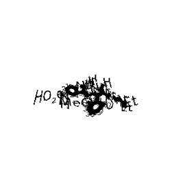 CCN(CC)CC[AsH]C(=O)c1c(C)[nH]c(C=C2C(=O)Nc3ccc(NC(=O)O)cc32)c1-c1ccccc1OC